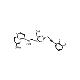 COc1ccc2nccc([C@@H](O)CC[C@@H]3CCN(CC#Cc4cccc(F)c4F)C[C@@H]3CO)c2c1